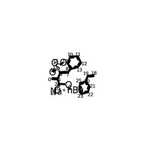 C=C(C(=O)OCCCC)C(=Cc1ccccc1)S(=O)(=O)[O-].C=Cc1ccccc1.[Na+]